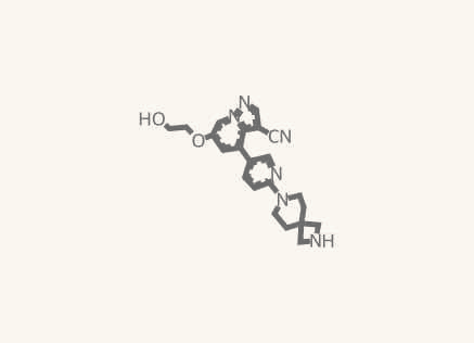 N#Cc1cnn2cc(OCCO)cc(-c3ccc(N4CCC5(CC4)CNC5)nc3)c12